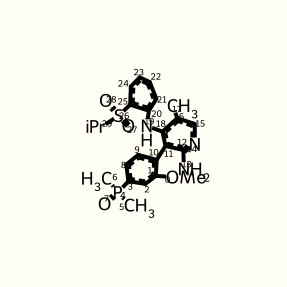 COc1cc(P(C)(C)=O)ccc1-c1c(N)ncc(C)c1Nc1ccccc1S(=O)(=O)C(C)C